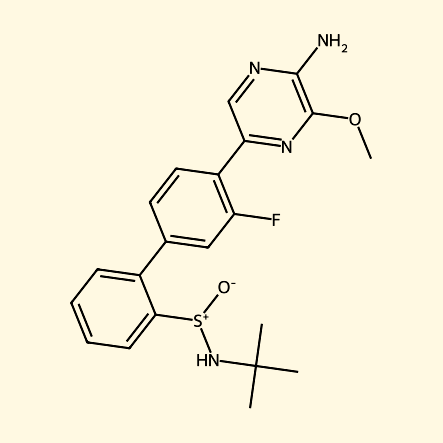 COc1nc(-c2ccc(-c3ccccc3[S+]([O-])NC(C)(C)C)cc2F)cnc1N